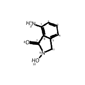 Nc1cccc2c1C(=O)N(O)C2